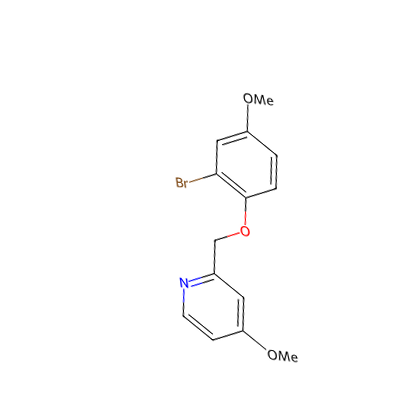 COc1ccnc(COc2ccc(OC)cc2Br)c1